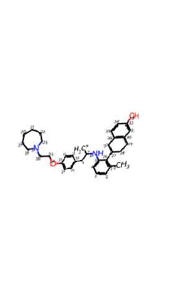 Cc1cccc(NC(C)Cc2ccc(OCCN3CCCCCC3)cc2)c1C1CCc2cc(O)ccc2C1